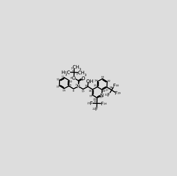 CC(C)(C)OC(=O)N(Cc1ccccc1)CC(O)c1cc(C(F)(F)F)nc2c(C(F)(F)F)cccc12